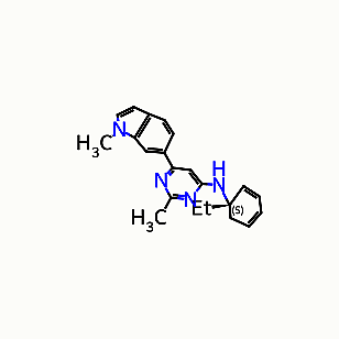 CC[C@@]1(Nc2cc(-c3ccc4ccn(C)c4c3)nc(C)n2)C=CC=CC1